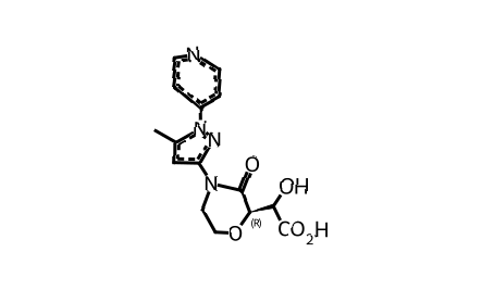 Cc1cc(N2CCO[C@H](C(O)C(=O)O)C2=O)nn1-c1ccncc1